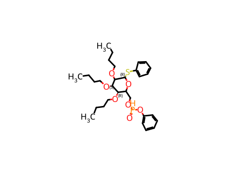 CCCCOC1[C@@H](Sc2ccccc2)OC(CO[PH](=O)Oc2ccccc2)[C@@H](OCCCC)[C@@H]1OCCCC